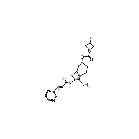 Nc1c(NC(=O)/C=C/c2cccnc2)sc2c1CCC(OC(=O)N1CC(F)C1)C2